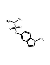 CN(C)S(=O)(=O)Oc1ccc2c(ccn2C)c1